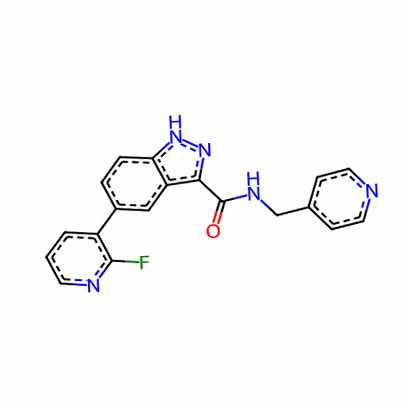 O=C(NCc1ccncc1)c1n[nH]c2ccc(-c3cccnc3F)cc12